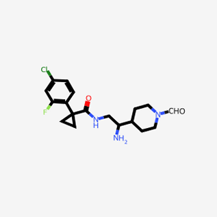 NC(CNC(=O)C1(c2ccc(Cl)cc2F)CC1)C1CCN(C=O)CC1